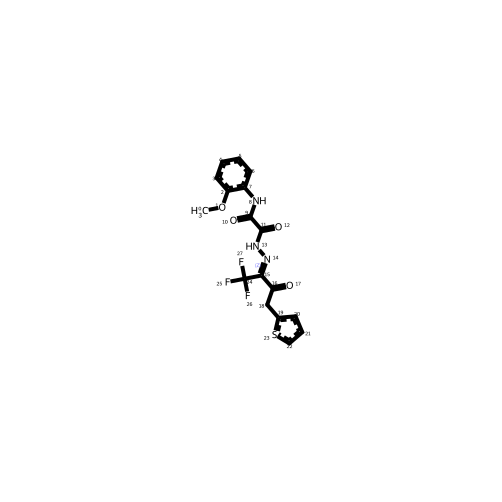 COc1ccccc1NC(=O)C(=O)N/N=C(/C(=O)Cc1cccs1)C(F)(F)F